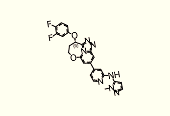 Cn1nccc1Nc1cc(-c2cc3n4c(nnc4c2)[C@H](Oc2ccc(F)c(F)c2)CCO3)ccn1